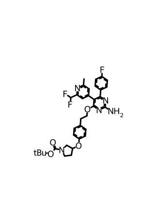 Cc1cc(-c2c(OCCc3ccc(OC4CCN(C(=O)OC(C)(C)C)C4)cc3)nc(N)nc2-c2ccc(F)cc2)cc(C(F)F)n1